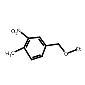 CCOCc1ccc(C)c([N+](=O)[O-])c1